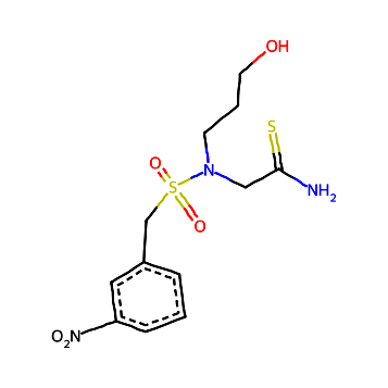 NC(=S)CN(CCCO)S(=O)(=O)Cc1cccc([N+](=O)[O-])c1